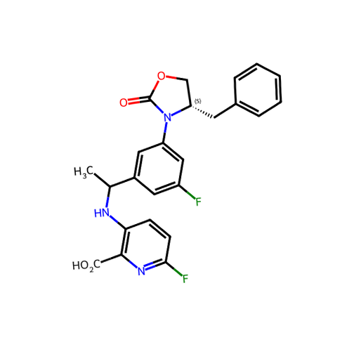 CC(Nc1ccc(F)nc1C(=O)O)c1cc(F)cc(N2C(=O)OC[C@@H]2Cc2ccccc2)c1